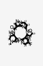 CN1CC[C@H]2NC(=O)c3cnn4ccc(nc34)N3OCC[C@@H]3c3cc(F)cnc3O[C@H]2C1